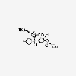 CC[C@H](C)CC(=O)O[C@H]1CC[C@H](N(c2cc(C#CC(C)(C)C)sc2C(=O)O)C(=O)[C@H]2CC[C@H](C)CC2)CC1